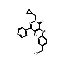 CC(=O)c1c(-c2ccncc2)nn(CC2CC2)c(=O)c1Nc1ccc(CO)cc1